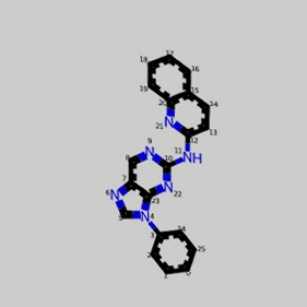 c1ccc(-n2cnc3cnc(Nc4ccc5ccccc5n4)nc32)cc1